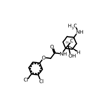 CNC12CCC(NC(=O)COc3ccc(Cl)c(Cl)c3)(CC1)[C@@H](O)C2